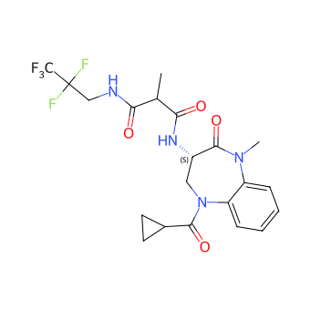 CC(C(=O)NCC(F)(F)C(F)(F)F)C(=O)N[C@H]1CN(C(=O)C2CC2)c2ccccc2N(C)C1=O